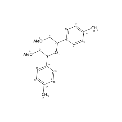 COCC(OC(COC)c1ccc(C)cc1)c1ccc(C)cc1